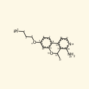 CC(C)CCCOc1ccc2c(c1)OC(C)c1c-2ccnc1N